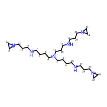 C(CCN(CCCCNCCCN1CC1)CCCNCCCN1CC1)CNCCCN1CC1